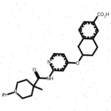 CC(C)N1CCC(C)(C(=O)Nc2cc(OC3CCc4cc(C(=O)O)ccc4C3)ccn2)CC1